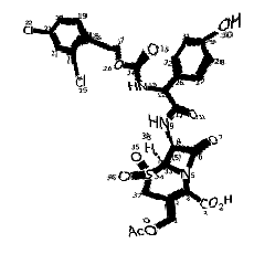 CC(=O)OCC1=C(C(=O)O)N2C(=O)[C@H](NC(=O)C(NC(=O)OCc3ccc(Cl)cc3Cl)c3ccc(O)cc3)[C@@H]2S(=O)(=O)C1